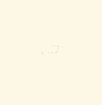 O=S(=O)(O)C1CC(F)(F)C1